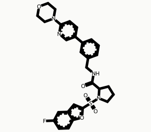 O=C(NCc1cccc(-c2ccc(N3CCOCC3)nc2)c1)C1CCCN1S(=O)(=O)c1cc2cc(F)ccc2o1